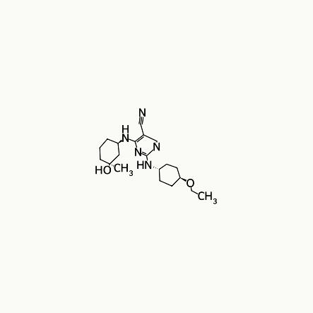 CCO[C@H]1CC[C@H](Nc2ncc(C#N)c(N[C@@H]3CCC[C@](C)(O)C3)n2)CC1